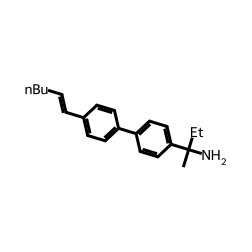 CCCC/C=C/c1ccc(-c2ccc(C(C)(N)CC)cc2)cc1